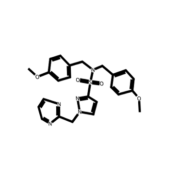 COc1ccc(CN(Cc2ccc(OC)cc2)S(=O)(=O)c2ccn(Cc3ncccn3)n2)cc1